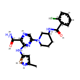 Cc1cc(Nc2nc(N3CCCC(NC(=O)c4ccccc4F)C3)cnc2C(N)=O)sn1